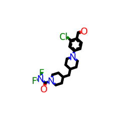 O=Cc1ccc(N2CCC(CC3CCN(C(=O)N(F)F)CC3)CC2)cc1Cl